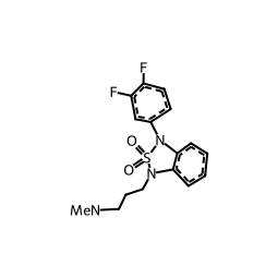 CNCCCN1c2ccccc2N(c2ccc(F)c(F)c2)S1(=O)=O